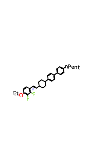 CCCCCc1ccc(-c2ccc(C3CCC(/C=C/c4ccc(OCC)c(F)c4F)CC3)cc2)cc1